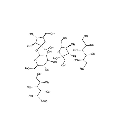 O=C[C@H](O)[C@@H](O)[C@H](O)[C@H](O)CO.OC[C@@H](O)[C@@H](O)[C@H](O)[C@H](O)CO.OC[C@H]1O[C@@](CO)(O[C@H]2O[C@H](CO)[C@@H](O)[C@H](O)[C@H]2O)[C@@H](O)[C@@H]1O.OC[C@H]1O[C@](O)(CO)[C@@H](O)[C@@H]1O